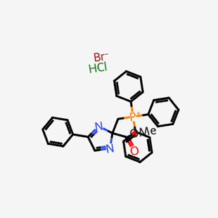 COC(=O)C1(C[P+](c2ccccc2)(c2ccccc2)c2ccccc2)N=CC(c2ccccc2)=N1.Cl.[Br-]